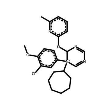 COc1ccc([N+]2(C3CCCCCC3)C=NC=NC2Oc2cccc(C)n2)cc1Cl